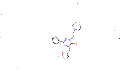 O=c1c(Cc2ccco2)nc(-c2ccccc2)nn1CCN1CCOCC1